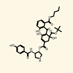 CCCCOC(=O)c1cccc(O)c1C(=O)C1=C(O)C=C(C(=O)O[C@@H]2CNC[C@H]2NC(=O)c2ccc(O)cc2)CC1(O)C(=O)OC(C)(C)C